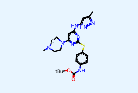 Cc1cc(Nc2cc(N3CCN(C)CC3)nc(Sc3ccc(NC(=O)OC(C)(C)C)cc3)n2)[nH]n1